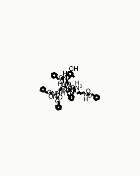 Cc1cc(O)cc(C)c1C[C@H](NC(=O)OCc1ccccc1)C(=O)N[C@H](CCCN/C(=N\C(=O)OCc1ccccc1)NC(=O)OCc1ccccc1)C(=O)N[C@@H](Cc1ccccc1)C(=O)N[C@@H](CCCCNC(=O)OCc1ccccc1)C(N)=O